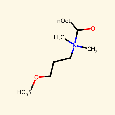 CCCCCCCCC([O-])[N+](C)(C)CCCOS(=O)(=O)O